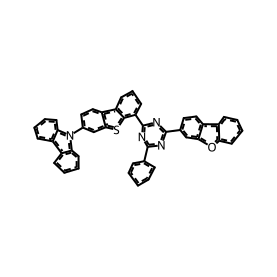 c1ccc(-c2nc(-c3ccc4c(c3)oc3ccccc34)nc(-c3cccc4c3sc3cc(-n5c6ccccc6c6ccccc65)ccc34)n2)cc1